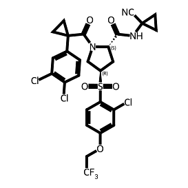 N#CC1(NC(=O)[C@@H]2C[C@@H](S(=O)(=O)c3ccc(OCC(F)(F)F)cc3Cl)CN2C(=O)C2(c3ccc(Cl)c(Cl)c3)CC2)CC1